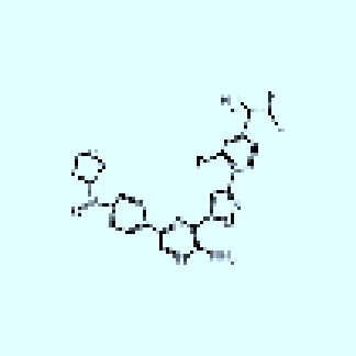 Nc1ncc(-c2ccc([S+]([O-])C3CCOC3)cc2)nc1-c1cc(-c2ccc(C(N)C(F)F)cc2F)no1